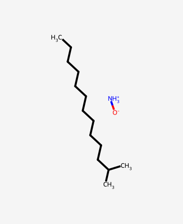 CCCCCCCCCCCC(C)C.[NH3+][O-]